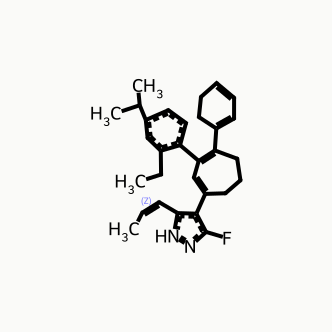 C/C=C\c1[nH]nc(F)c1C1=CC(c2ccc(C(C)C)cc2CC)=C(C2=CC=CCC2)CCC1